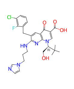 CC(C)(C)[C@@H](CO)n1cc(C(=O)O)c(=O)c2cc(Cc3cccc(Cl)c3F)c(NCCCn3ccnc3)nc21